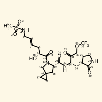 CS(=O)(=O)NC/C=C/C[C@@H](O)C(=O)N1CC2(CC2)C[C@H]1C(=O)N[C@@H](C[C@@H]1CCNC1=O)C(=O)COC(F)(F)F